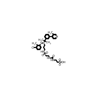 Cc1cnccc1-c1cccc(C(C)(C)N(CCCNS(=O)(=O)CCNC(=O)NCCS(=O)(=O)O)Sc2cccc(Cl)c2C)c1